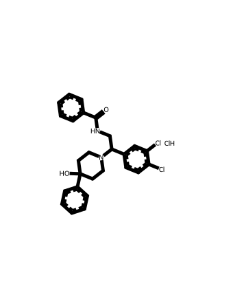 Cl.O=C(NCC(c1ccc(Cl)c(Cl)c1)N1CCC(O)(c2ccccc2)CC1)c1ccccc1